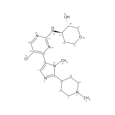 CN1CCC(c2ncc(-c3nc(N[C@@H]4CCOC[C@H]4O)ncc3Cl)n2C)CC1